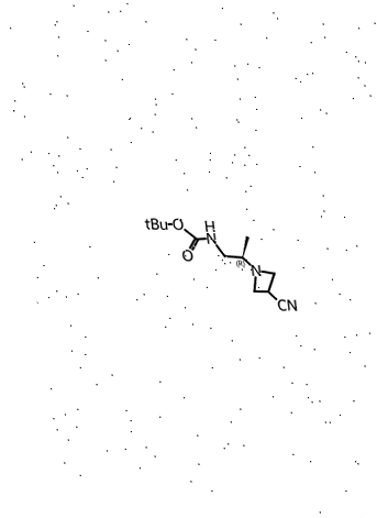 C[C@H](CNC(=O)OC(C)(C)C)N1CC(C#N)C1